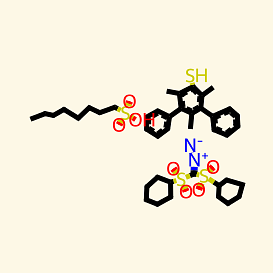 CCCCCCCCS(=O)(=O)O.Cc1c(S)c(C)c(-c2ccccc2)c(C)c1-c1ccccc1.[N-]=[N+]=C(S(=O)(=O)C1CCCCC1)S(=O)(=O)C1CCCCC1